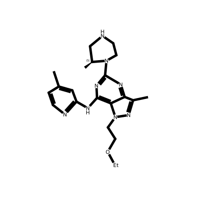 CCOCCn1nc(C)c2nc(N3CCNC[C@@H]3C)nc(Nc3cc(C)ccn3)c21